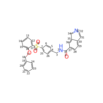 O=C(NCc1ccc(S(=O)(=O)c2ccccc2OCc2ccccc2)cc1)c1ccc2ccncc2c1